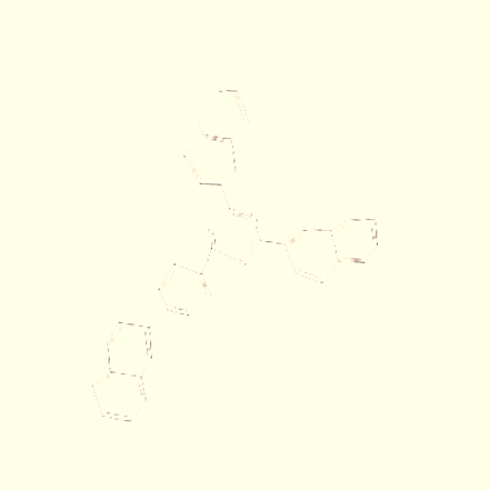 C/C=C\c1cc(-c2nc(-c3ccc(-c4ccc5ccccc5c4)cc3)nc(-c3ccc4ccccc4c3)n2)ccc1C